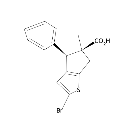 C[C@]1(C(=O)O)Cc2sc(Br)cc2[C@H]1c1ccccc1